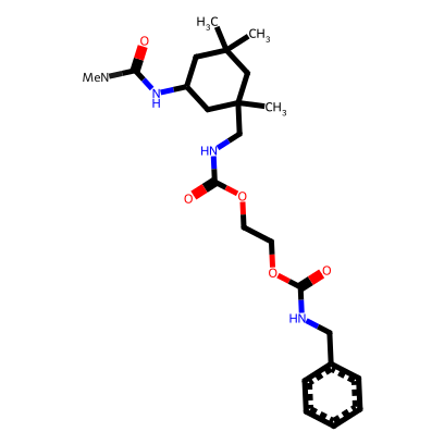 CNC(=O)NC1CC(C)(C)CC(C)(CNC(=O)OCCOC(=O)NCc2ccccc2)C1